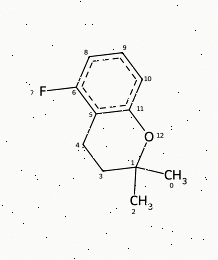 CC1(C)C[CH]c2c(F)cccc2O1